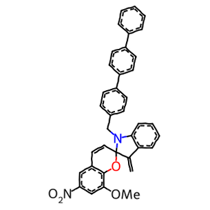 C=C1c2ccccc2N(Cc2ccc(-c3ccc(-c4ccccc4)cc3)cc2)C12C=Cc1cc([N+](=O)[O-])cc(OC)c1O2